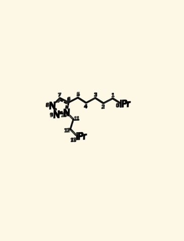 CC(C)CCCCCc1cnnn1CCC(C)C